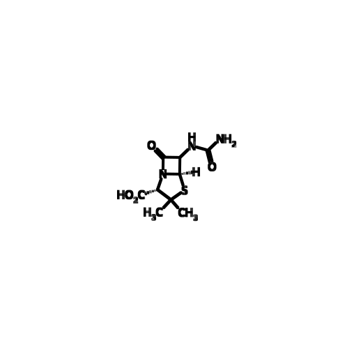 CC1(C)S[C@@H]2C(NC(N)=O)C(=O)N2[C@H]1C(=O)O